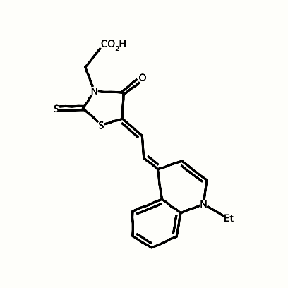 CCN1C=CC(=CC=C2SC(=S)N(CC(=O)O)C2=O)c2ccccc21